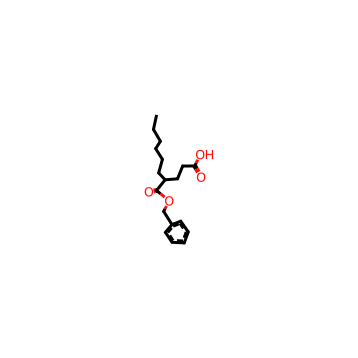 CCCCCCC(CCC(=O)O)C(=O)OCc1ccccc1